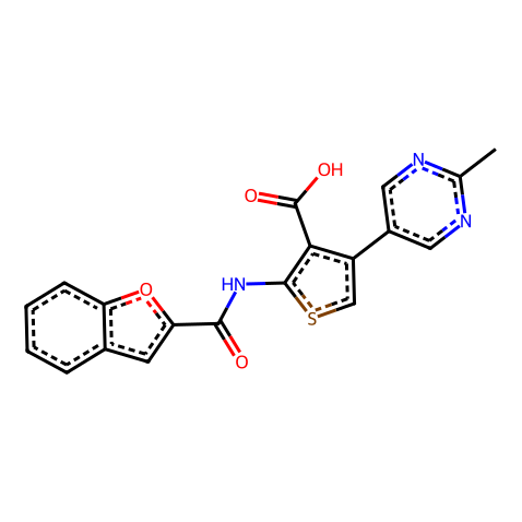 Cc1ncc(-c2csc(NC(=O)c3cc4ccccc4o3)c2C(=O)O)cn1